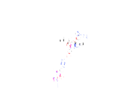 CC1(C)[C@H](NC(=O)c2ccc(OCCCN3CCN(c4ccc5c(c4)C(=O)N(C4CCC(=O)NC4=O)C5=O)CC3)cc2)C(C)(C)[C@H]1Oc1ccc(C#N)c2ncccc12